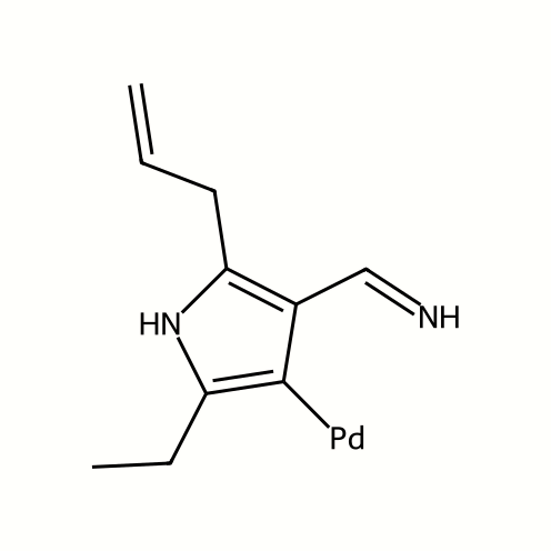 C=CCc1[nH]c(CC)[c]([Pd])c1C=N